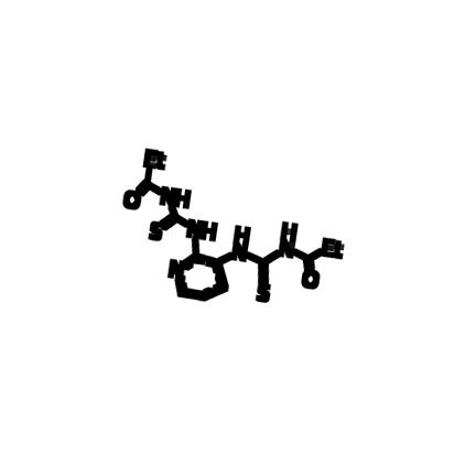 CCC(=O)NC(=S)Nc1cccnc1NC(=S)NC(=O)CC